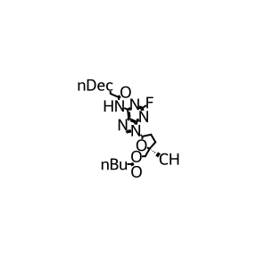 C#C[C@@]1(COC(=O)CCCC)CC[C@H](n2cnc3c(NC(=O)CCCCCCCCCCC)nc(F)nc32)O1